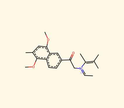 C/C=[N+](/CC(=O)c1ccc2c(OC)c(C)cc(OC)c2c1)C(C)=C(C)C